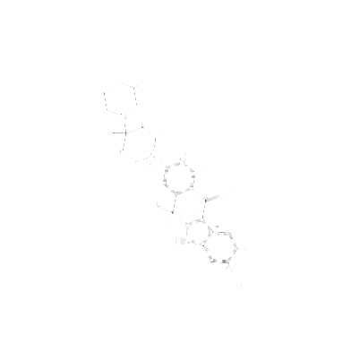 CCC1(N2CCOCC2)CCN(c2cc3c(cn2)C(=O)c2c([nH]c4cc(C(=O)O)ccc24)C3(C)C)CC1